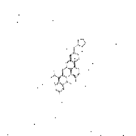 Cc1ccc2c(C(C)C)c3c(c(C)c2c1)-c1c2c(cc4cc(CC5CCCC5)ccc4c2cc[n+]1C)S3